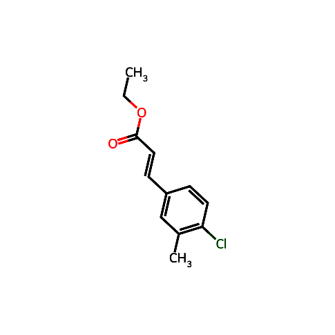 CCOC(=O)C=Cc1ccc(Cl)c(C)c1